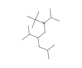 CC(C)CC(CN(C(C)C)C(C)(C)C)C(C)C